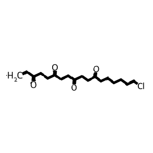 [CH2]CC(=O)CCC(=O)CCC(=O)CCC(=O)CCCCCCCl